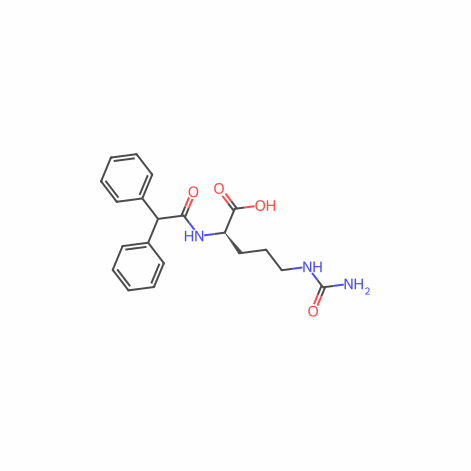 NC(=O)NCCC[C@@H](NC(=O)C(c1ccccc1)c1ccccc1)C(=O)O